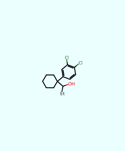 CCC(O)C1(c2ccc(Cl)c(Cl)c2)CCCCC1